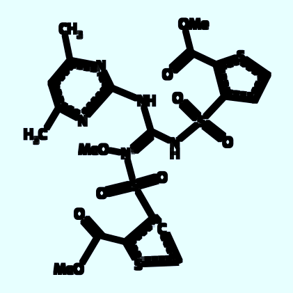 COC(=O)c1sccc1S(=O)(=O)NC(Nc1nc(C)cc(C)n1)=[N+](OC)S(=O)(=O)c1ccsc1C(=O)OC